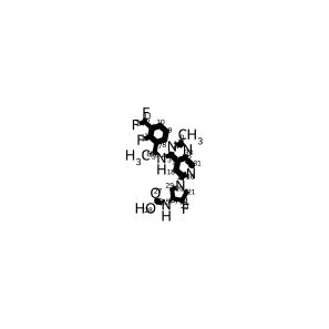 Cc1nc(N[C@H](C)c2cccc(C(F)F)c2F)c2cc(N3C[C@@H](F)[C@@H](NC(=O)O)C3)ncc2n1